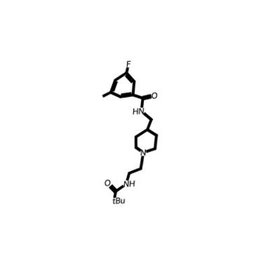 Cc1cc(F)cc(C(=O)NCC2CCN(CCNC(=O)C(C)(C)C)CC2)c1